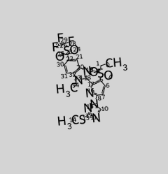 CCS(=O)(=O)c1ccc(-n2cnc(SC)n2)nc1-c1nc2cc(S(=O)(=O)C(F)(F)F)ccc2n1C